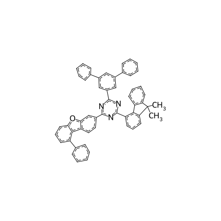 CC1(C)c2ccccc2-c2c(-c3nc(-c4cc(-c5ccccc5)cc(-c5ccccc5)c4)nc(-c4ccc5c(c4)oc4cccc(-c6ccccc6)c45)n3)cccc21